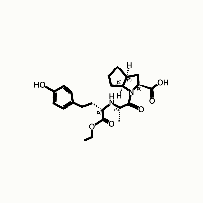 CCOC(=O)[C@H](CCc1ccc(O)cc1)N[C@@H](C)C(=O)N1[C@H](C(=O)O)C[C@@H]2CCC[C@@H]21